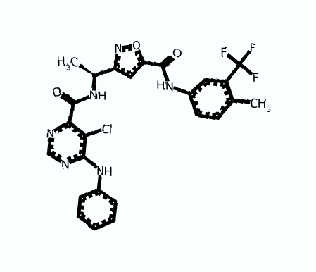 Cc1ccc(NC(=O)c2cc([C@H](C)NC(=O)c3ncnc(Nc4ccccc4)c3Cl)no2)cc1C(F)(F)F